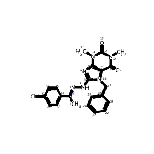 C/C(=N\Nc1nc2c(c(=O)n(C)c(=O)n2C)n1Cc1ccccc1)c1ccc(Cl)cc1